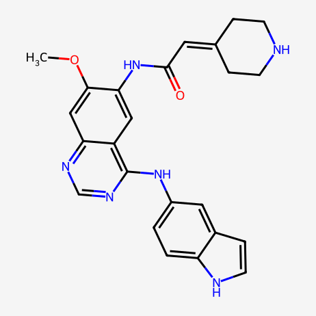 COc1cc2ncnc(Nc3ccc4[nH]ccc4c3)c2cc1NC(=O)C=C1CCNCC1